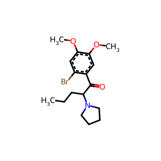 CCCC(C(=O)c1cc(OC)c(OC)cc1Br)N1CCCC1